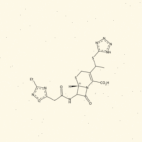 CCc1noc(CC(=O)NC2C(=O)N3C(C(=O)O)=C(C(C)Sc4nnn[nH]4)CS[C@@H]23)n1